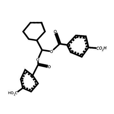 O=C(O)c1ccc(C(=O)OC(OC(=O)c2ccc(C(=O)O)cc2)C2CCCCC2)cc1